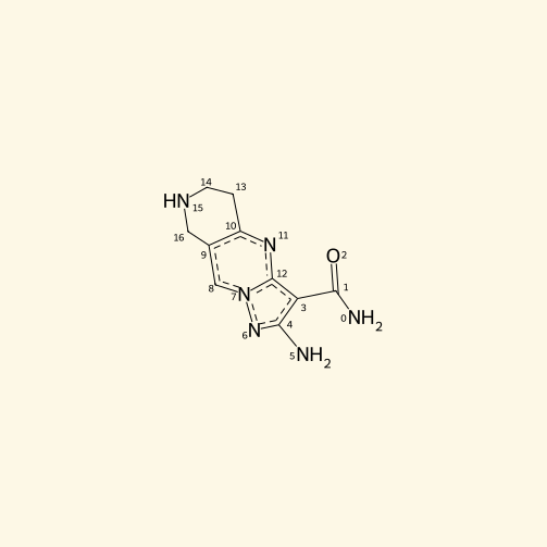 NC(=O)c1c(N)nn2cc3c(nc12)CCNC3